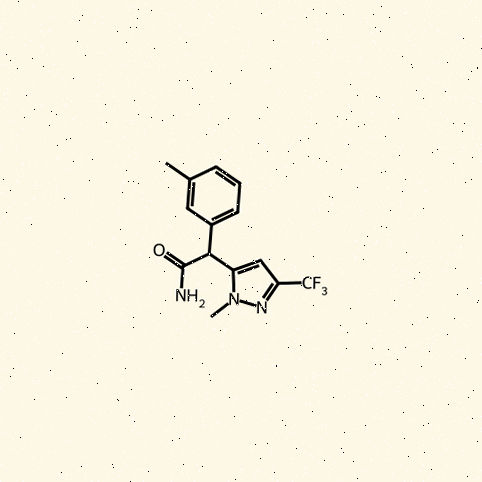 Cc1cccc(C(C(N)=O)c2cc(C(F)(F)F)nn2C)c1